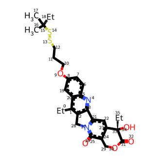 CCc1c2c(nc3ccc(OCCCSSC(C)(C)CC)cc13)-c1cc3c(c(=O)n1C2)COC(=O)[C@]3(O)CC